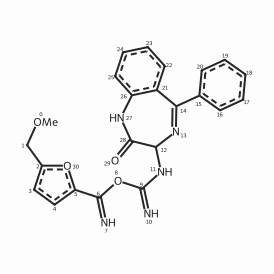 COCc1ccc(C(=N)OC(=N)NC2N=C(c3ccccc3)c3ccccc3NC2=O)o1